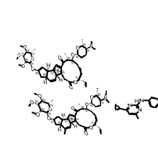 CC[C@H]1CCC[C@H](O[C@H]2CC[C@H](N(C)C)[C@@H](C)O2)[C@@H](C)C(=O)C2=C[C@@H]3[C@@H](C=C(C)[C@@H]4C[C@@H](O[C@@H]5O[C@@H](C)[C@H](OC)[C@@H](OC)[C@H]5OC)C[C@@H]34)[C@@H]2CC(=O)O1.CC[C@H]1CCC[C@H](O[C@H]2CC[C@H](N(C)C)[C@@H](C)O2)[C@@H](C)C(=O)C2=C[C@@H]3[C@@H](C=C[C@@H]4C[C@@H](O[C@@H]5O[C@@H](C)[C@H](OC)[C@@H](OC)[C@H]5OC)C[C@@H]34)[C@@H]2CC(=O)O1.Cc1cc(C2CC2)nc(Nc2ccccc2)n1